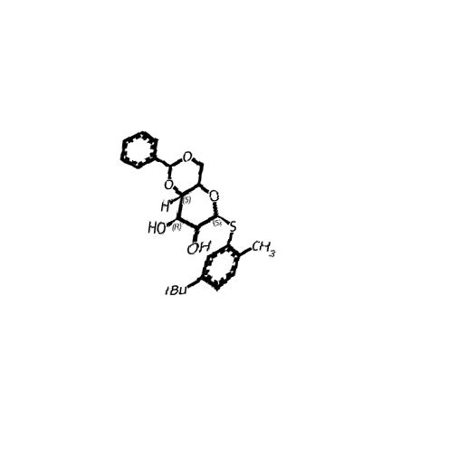 Cc1ccc(C(C)(C)C)cc1S[C@@H]1OC2COC(c3ccccc3)O[C@H]2[C@H](O)C1O